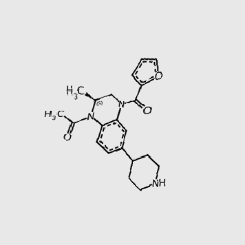 CC(=O)N1c2ccc(C3CCNCC3)cc2N(C(=O)c2ccco2)C[C@@H]1C